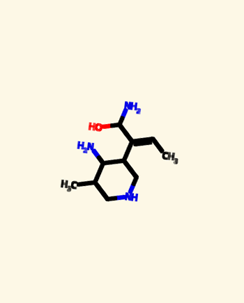 C/C=C(/C(N)O)C1CNCC(C)C1N